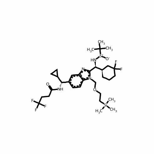 CC(C)(C)[S+]([O-])N[C@H](c1nc2cc([C@H](NC(=O)CCC(F)(F)F)C3CC3)ccc2n1COCC[Si](C)(C)C)[C@@H]1CCCC(F)(F)C1